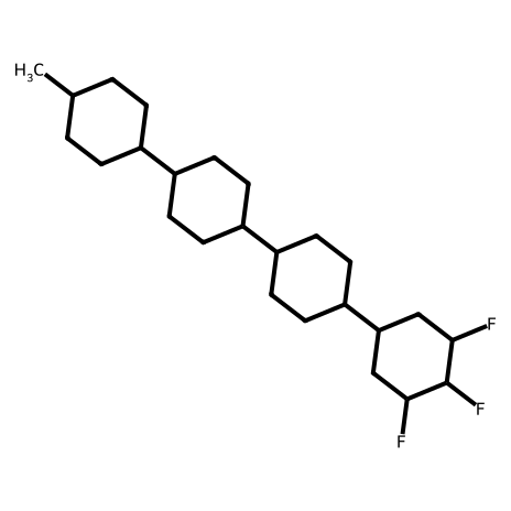 CC1CCC(C2CCC(C3CCC(C4CC(F)C(F)C(F)C4)CC3)CC2)CC1